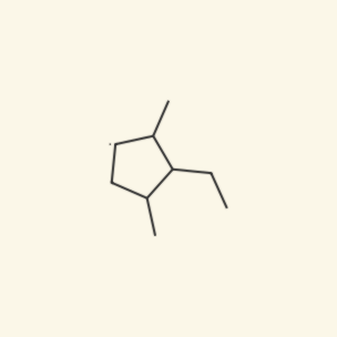 CCC1C(C)[CH]CC1C